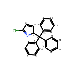 ClC1=NC(C(c2ccccc2)(c2ccccc2)c2ccccc2)C=C1